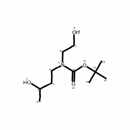 CC(O)CCN(CCO)C(=O)OC(C)(C)C